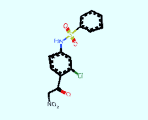 O=C(C[N+](=O)[O-])c1ccc(NS(=O)(=O)c2ccccc2)cc1Cl